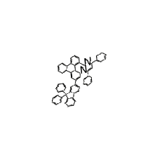 c1ccc(-c2cc(-c3ccccc3)nc(-c3cccc4c5ccccc5c5cc(-c6ccc7c(c6)C(c6ccccc6)(c6ccccc6)c6ccccc6-7)ccc5c34)n2)cc1